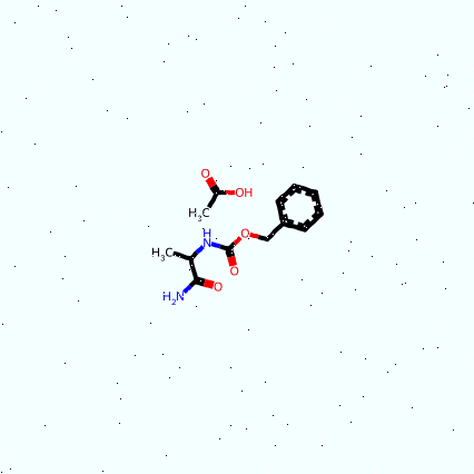 CC(=O)O.CC(NC(=O)OCc1ccccc1)C(N)=O